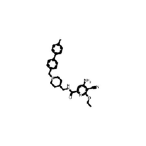 CCOc1nc(C(=O)NCC2CCN(Cc3ccc(-c4ccc(C)cc4)cc3)CC2)cc(N)c1C#N